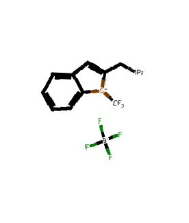 CC(C)Cc1cc2ccccc2[s+]1C(F)(F)F.F[B-](F)(F)F